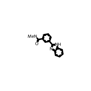 CNC(=O)c1[c]ccc(-c2nc3ccccc3[nH]2)c1